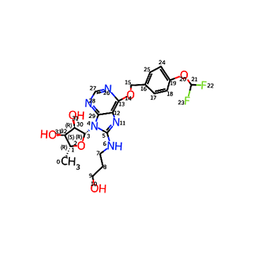 C[C@H]1O[C@@H](n2c(NCCCO)nc3c(OCc4ccc(OC(F)F)cc4)ncnc32)[C@H](O)[C@@H]1O